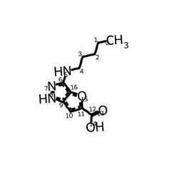 CCCCCNc1n[nH]c2cc(C(=O)O)oc12